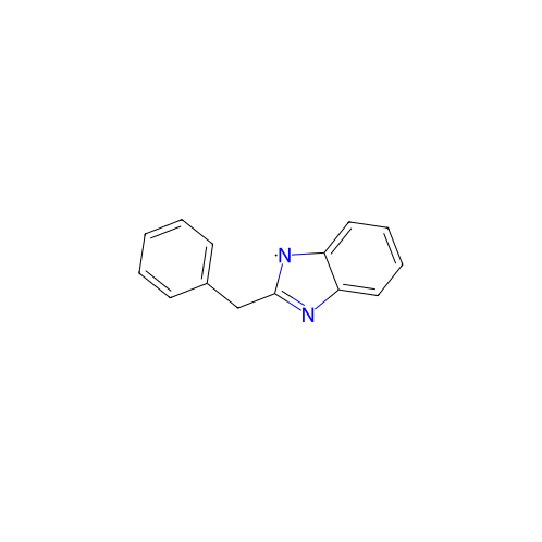 c1ccc(CC2=Nc3ccccc3[N]2)cc1